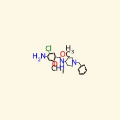 COc1cc(N)c(Cl)cc1C(=O)NC1CCN(Cc2ccccc2)CC1C